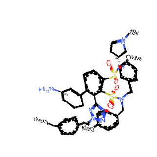 COc1ccc(CN(Cc2ccc(OC)cc2)S(=O)(=O)c2c(S(=O)(=O)N[C@@H]3CCN(C(C)(C)C)C3)ccc(C3=C[C@H](N)CCC3)c2-c2nnn(Cc3ccc(OC)cc3)n2)cc1